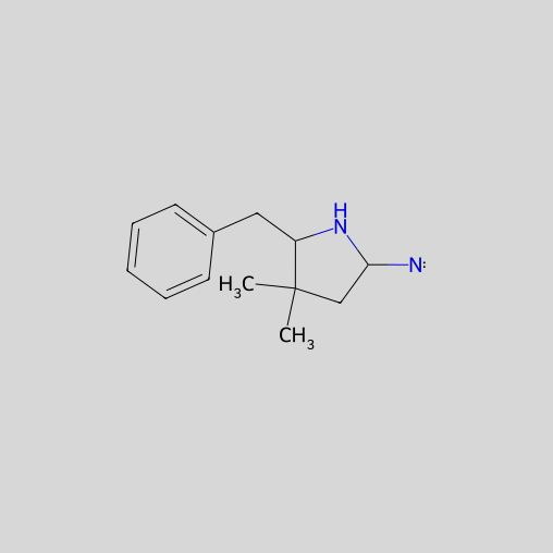 CC1(C)CC([N])NC1Cc1ccccc1